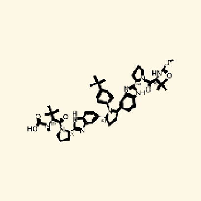 COC(=O)N[C@H](C(=O)N1CCC[C@H]1c1nc2cc(C3CC[C@H](c4ccc5[nH]c([C@@H]6CCCN6C(=O)[C@@H](N(C)C(=O)O)C(C)(C)C)nc5c4)N3c3ccc(C(C)(C)C)cc3)ccc2[nH]1)C(C)(C)C